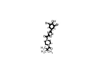 CC(C)(C)C(=O)N1CCN(C(=O)c2nc(-c3cc(Br)c(O)c(Br)c3)no2)CC1